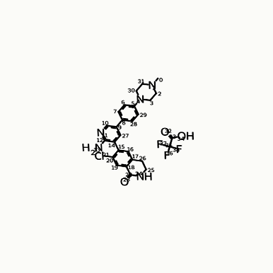 CN1CCN(c2ccc(-c3cnc(N)c(-c4cc5c(cc4Cl)C(=O)NCC5)c3)cc2)CC1.O=C(O)C(F)(F)F